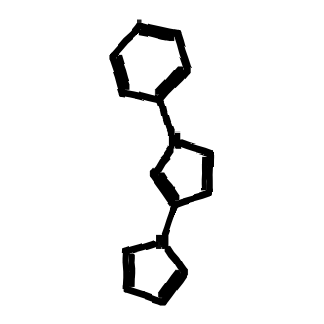 [c]1ccc(-n2ccc(-n3cccc3)c2)cc1